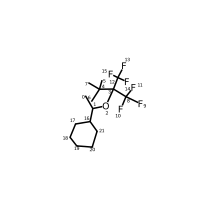 CC(OC(C(C)(C)C)(C(F)(F)F)C(F)(F)F)C1CCCCC1